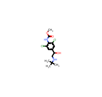 COC(=O)Nc1c(Cl)cc(C(O)CNC(C)(C)C)cc1Cl